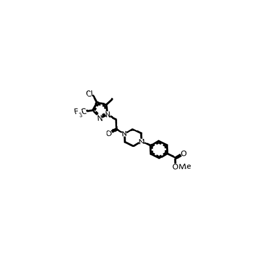 COC(=O)c1ccc(N2CCN(C(=O)Cn3nc(C(F)(F)F)c(Cl)c3C)CC2)cc1